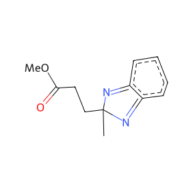 COC(=O)CCC1(C)N=c2ccccc2=N1